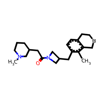 Cc1c(CC2CN(C(=O)CC3CCCN(C)C3)C2)ccc2c1CBCC2